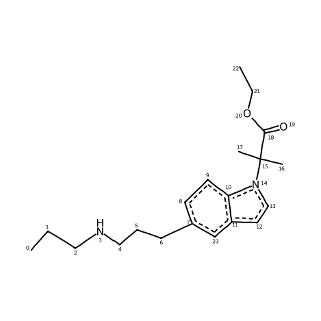 CCCNCCCc1ccc2c(ccn2C(C)(C)C(=O)OCC)c1